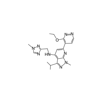 CCOc1nnccc1-c1cc(NCc2ncn(C)n2)c2c(C(C)C)nn(C)c2n1